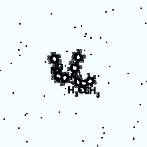 CC1(C)c2ccccc2-c2cc(N(c3ccc(-c4ccccc4)cc3)c3ccc4ccc5nc(-c6ccccc6)oc5c4c3)ccc21